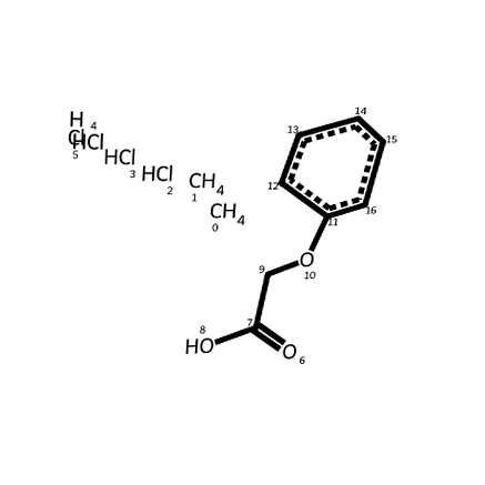 C.C.Cl.Cl.Cl.Cl.O=C(O)COc1ccccc1